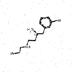 CC(C)CCNCC[C@@H](N)Cc1cccc(Br)c1